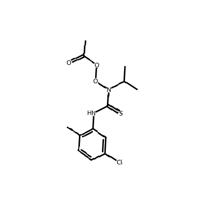 CC(=O)OON(C(=S)Nc1cc(Cl)ccc1C)C(C)C